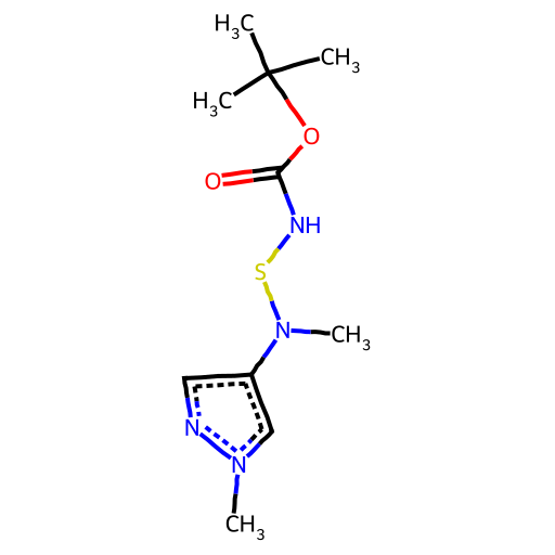 CN(SNC(=O)OC(C)(C)C)c1cnn(C)c1